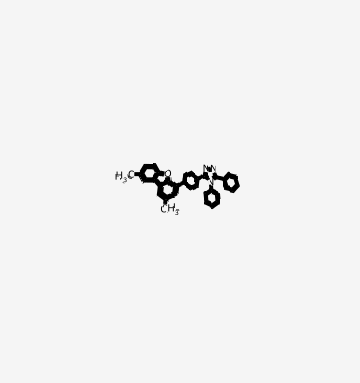 Cc1ccc2oc3c(-c4ccc(-c5nnc(-c6ccccc6)n5-c5ccccc5)cc4)cc(C)cc3c2c1